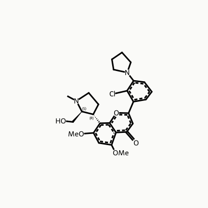 COc1cc(OC)c2c(=O)cc(-c3cccc(N4CCCC4)c3Cl)oc2c1[C@H]1CCN(C)[C@@H]1CO